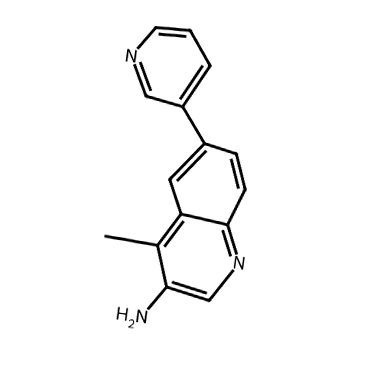 Cc1c(N)cnc2ccc(-c3cccnc3)cc12